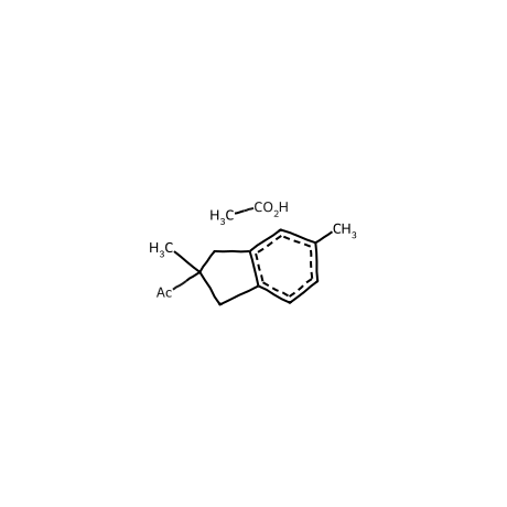 CC(=O)C1(C)Cc2ccc(C)cc2C1.CC(=O)O